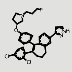 FCCCN1CC[C@H](Oc2ccc(C3=C(c4ccc(Cl)cc4Cl)CCCc4cc(-c5cc[nH]n5)ccc43)cc2)C1